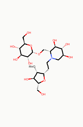 CO[C@H]1[C@H](O)[C@@H](CO)O[C@H]1CCN1C[C@H](O)[C@@H](O)[C@H](O)[C@H]1CO[C@H]1O[C@H](CO)[C@@H](O)[C@H](O)[C@H]1O